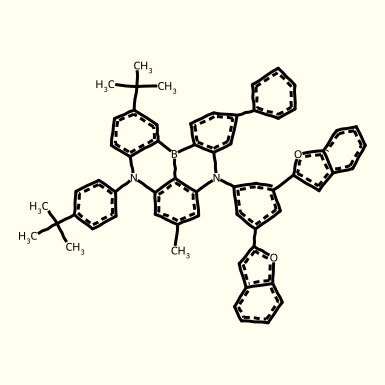 Cc1cc2c3c(c1)N(c1cc(-c4cc5ccccc5o4)cc(-c4cc5ccccc5o4)c1)c1cc(-c4ccccc4)ccc1B3c1cc(C(C)(C)C)ccc1N2c1ccc(C(C)(C)C)cc1